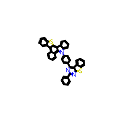 c1ccc(-c2nc(-c3ccc(-n4c5ccccc5c5c6sc7ccccc7c6c6ccccc6c54)cc3)c3c(n2)sc2ccccc23)cc1